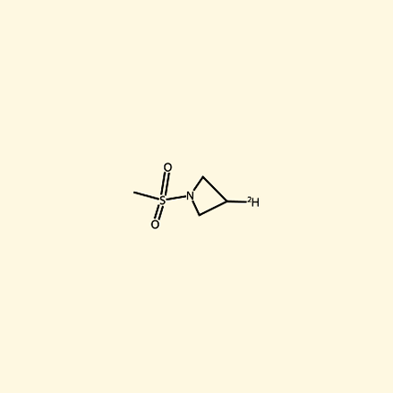 [2H]C1CN(S(C)(=O)=O)C1